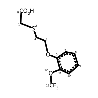 O=C(O)CSCCOc1ccccc1OC(F)(F)F